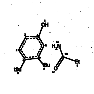 CC(C)(C)c1ccc(O)cc1C(C)(C)C.CCC(N)=O